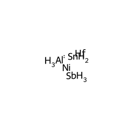 [AlH3].[Hf].[Ni].[SbH3].[SnH2]